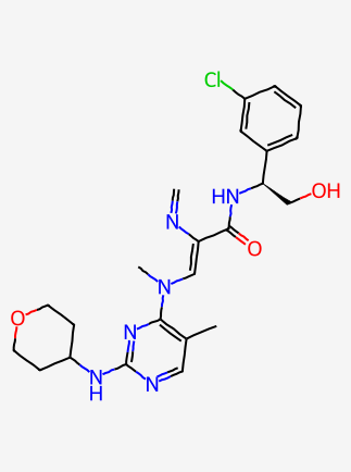 C=N/C(=C\N(C)c1nc(NC2CCOCC2)ncc1C)C(=O)N[C@H](CO)c1cccc(Cl)c1